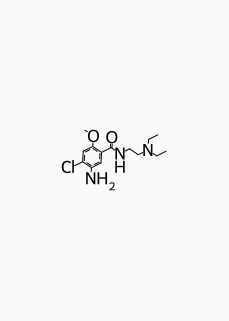 CCN(CC)CCNC(=O)c1cc(N)c(Cl)cc1OC